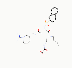 CCCCN(CCNC(=O)C(=O)O)C(=O)[C@H](CC(=O)NC[C@@H]1CCCN(C(=N)N)C1)NS(=O)(=O)c1ccc2ccccc2c1